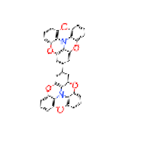 c1cc2c3c(c1)Oc1cc(-c4cc5c6c(c4)Oc4cccc7c4N6c4c(cccc4O5)O7)cc4c1N3c1c(cccc1O4)O2